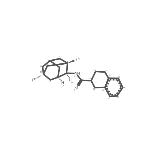 O=C(N[C@H]1[C@@H]2CC3C[C@H]1C[C@](F)(C3)C2)C1CCc2ccccc2C1